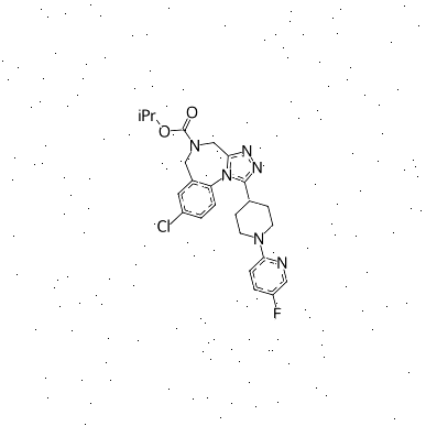 CC(C)OC(=O)N1Cc2cc(Cl)ccc2-n2c(nnc2C2CCN(c3ccc(F)cn3)CC2)C1